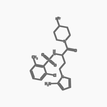 CCCC1CCN(C(=O)C(CCn2cccc2N)NS(=O)(=O)c2c(C)cccc2Cl)CC1